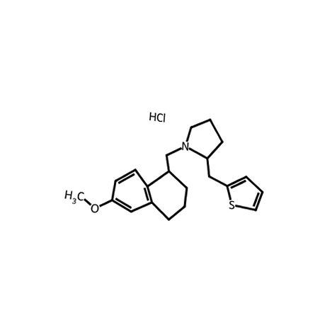 COc1ccc2c(c1)CCCC2CN1CCCC1Cc1cccs1.Cl